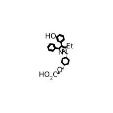 CCc1c(-c2cccc(O)c2)c(-c2ccccc2)nn1C[C@H]1CC[C@@H](COCC(=O)O)CC1